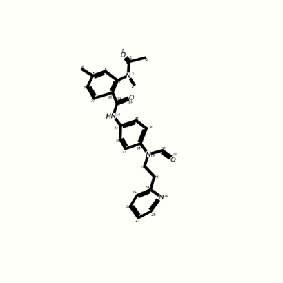 CC(=O)N(C)c1cc(C)ccc1C(=O)Nc1ccc(N(C=O)CCc2ccccn2)cc1